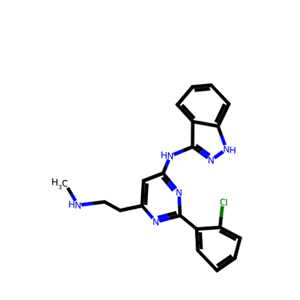 CNCCc1cc(Nc2n[nH]c3ccccc23)nc(-c2ccccc2Cl)n1